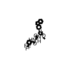 CCO[C@H]1CN(C2CCC3(C=Cc4ccccc43)CC2)CC1NC(=O)CNC(=O)c1cccc(C(F)(F)F)c1